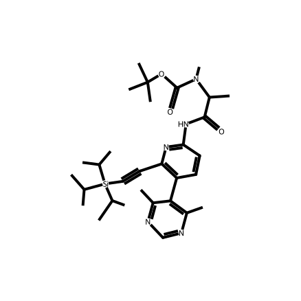 Cc1ncnc(C)c1-c1ccc(NC(=O)C(C)N(C)C(=O)OC(C)(C)C)nc1C#C[Si](C(C)C)(C(C)C)C(C)C